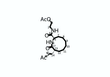 CC(=O)OCCNC(=O)[C@H]1CCCCCC[C@H](CSC(C)=O)C(=O)N1